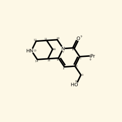 CC(C)c1c(CO)cc2n(c1=O)CC1CNCC2C1